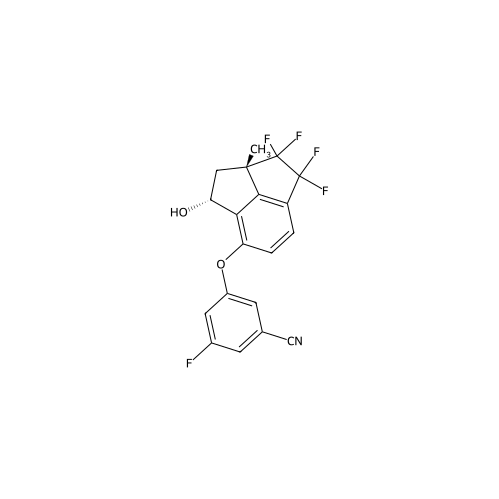 C[C@]12C[C@@H](O)c3c(Oc4cc(F)cc(C#N)c4)ccc(c31)C(F)(F)C2(F)F